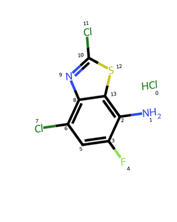 Cl.Nc1c(F)cc(Cl)c2nc(Cl)sc12